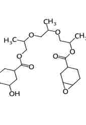 CC(COC(=O)C1CCCC(O)C1)OCC(C)OCC(C)OC(=O)C1CCC2OC2C1